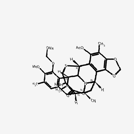 COCOc1c(OC)c(C)cc2c1[C@@H]1C3[C@@H]4SCC(NC(C)=O)C(=O)OC[C@@H](c5c6c(c(C)c(OC(C)=O)c54)OCO6)N3[C@@H](C#N)[C@H](C2)N1C